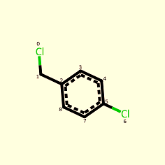 ClCc1[c]cc(Cl)cc1